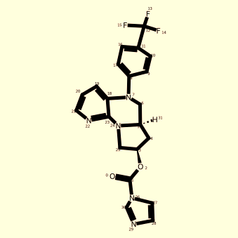 O=C(O[C@@H]1C[C@@H]2CN(c3ccc(C(F)(F)F)cc3)c3cccnc3N2C1)n1ccnc1